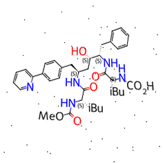 CCC(C)[C@H](NC(=O)OC)C(=O)N[C@@H](Cc1ccc(-c2ccccn2)cc1)C[C@H](O)[C@H](Cc1ccccc1)NC(=O)[C@H](NC(=O)O)C(C)CC